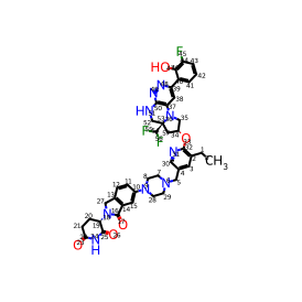 CCc1cc(CN2CCN(c3ccc4c(c3)C(=O)N([C@H]3CCC(=O)NC3=O)C4)CC2)cnc1O[C@H]1CN2c3cc(-c4cccc(F)c4O)nnc3NC[C@@]2(C(F)F)C1